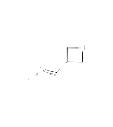 ON=CC1CNC1